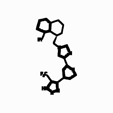 CC(C)c1cccc2c1[C@@H](Cn1cnc(-c3cc(-c4nn[nH]c4C(F)(F)F)ccn3)c1)CCC2